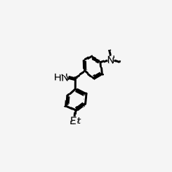 CCc1ccc(C(=N)c2ccc(N(C)C)cc2)cc1